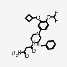 NC(=O)CC(=O)N1CCN(c2ccc(OC(F)F)c(OC3CCC3)c2)C[C@@H]1Cc1ccccc1